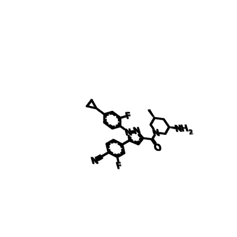 C[C@H]1C[C@@H](N)CN(C(=O)c2cc(-c3ccc(C#N)c(F)c3)n(-c3ccc(C4CC4)cc3F)n2)C1